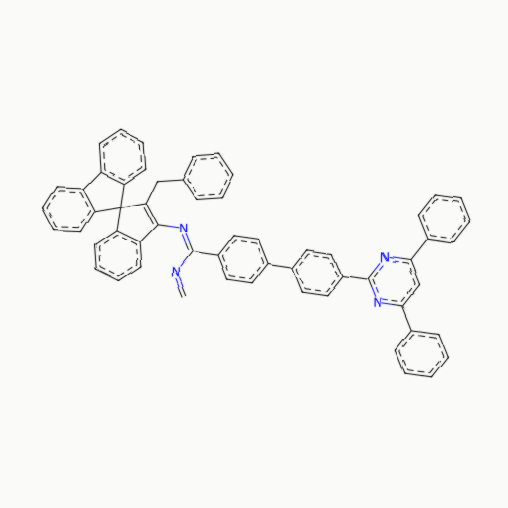 C=N/C(=N\C1=C(Cc2ccccc2)C2(c3ccccc31)c1ccccc1-c1ccccc12)c1ccc(-c2ccc(-c3nc(-c4ccccc4)cc(-c4ccccc4)n3)cc2)cc1